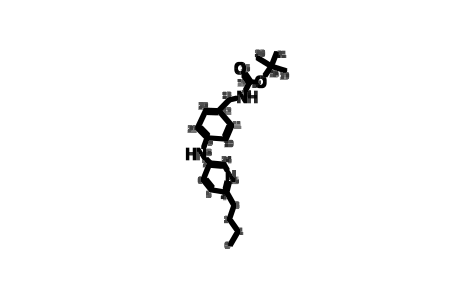 CCCCc1ccc(Nc2ccc(CNC(=O)OC(C)(C)C)cc2)cn1